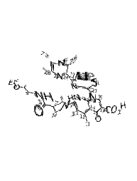 CCOCCNC(=O)C1CN(C2=CC(C)=C3C(=O)C(C(=O)O)=CN(c4nc(-c5cnccn5)ns4)C3N2)C1